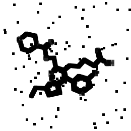 CCc1ccc2c(-c3cncc(Br)c3)c(CCCCC(=O)O)c(COC(=O)N3CCOCC3)nn12